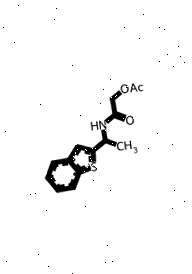 CC(=O)OCC(=O)NC(C)c1cc2ccccc2s1